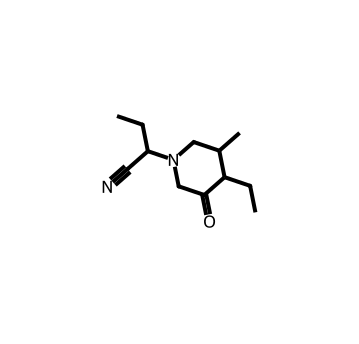 CCC1C(=O)CN(C(C#N)CC)CC1C